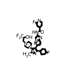 Cn1nc(-c2ccc(F)cc2)c(-c2ccc3nc(NC(=O)c4ccnc(F)c4)cn3n2)c1N1CCN(CC(O)C(F)(F)F)CC1